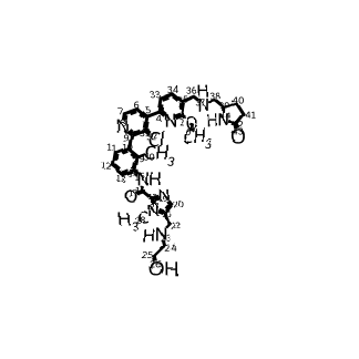 COc1nc(-c2ccnc(-c3cccc(NC(=O)c4ncc(CNCCO)n4C)c3C)c2Cl)ccc1CNCC1CCC(=O)N1